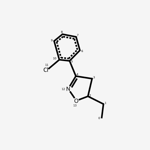 CCC1CC(c2ccccc2Cl)=NO1